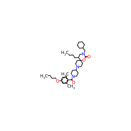 CCCCOc1cc(C)c(C(=O)N2CCC(N3CCC4(CC3)OC(=O)N(CC3CCCCC3)CC4CCCC)CC2)c(C)c1